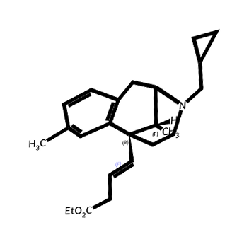 CCOC(=O)C/C=C/[C@@]12CCN(CC3CC3)C(Cc3ccc(C)cc31)[C@@H]2C